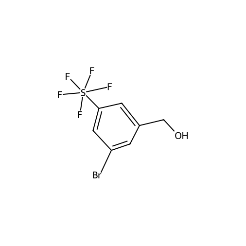 OCc1cc(Br)cc(S(F)(F)(F)(F)F)c1